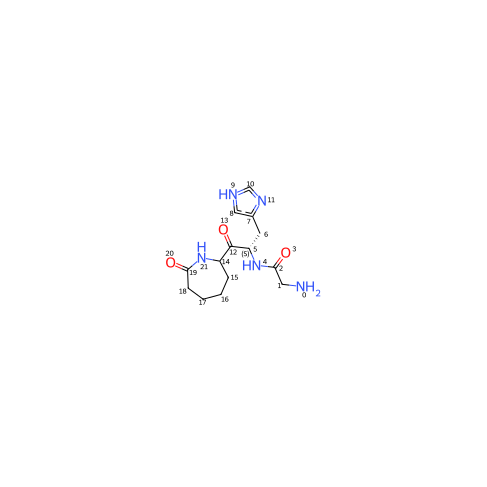 NCC(=O)N[C@@H](Cc1c[nH]cn1)C(=O)C1CCCCC(=O)N1